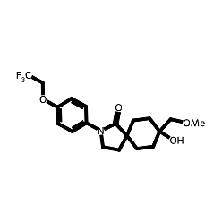 COCC1(O)CCC2(CCN(c3ccc(OCC(F)(F)F)cc3)C2=O)CC1